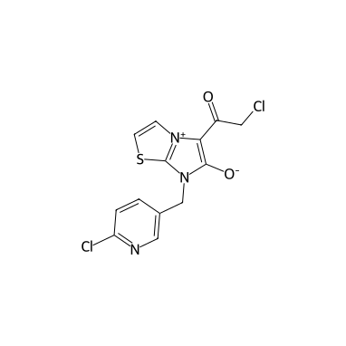 O=C(CCl)c1c([O-])n(Cc2ccc(Cl)nc2)c2scc[n+]12